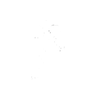 CCCCCCCCCCCCCCCCOS(=O)(=O)N1C(=O)CCC1=O.[NaH]